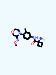 CON=C1COCCN1c1ccc(NC(=O)C2(N)CCC2)cc1C